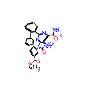 COC(=O)c1cccc(-n2c(=O)[nH]c3c(C(N)=O)nc(-c4ccccc4-c4ccccc4)nc32)c1